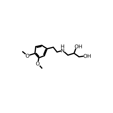 COc1ccc(CCNCC(O)CO)cc1OC